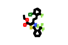 CCOC(=O)c1sc(-c2ccccc2C(F)(F)F)nc1CCc1c(F)cccc1Cl